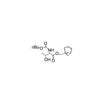 CCCCOC(=O)NC(C(=O)OCc1ccccc1)C(C)O